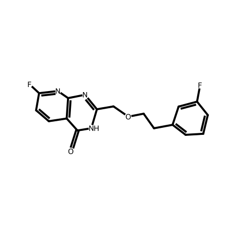 O=c1[nH]c(COCCc2cccc(F)c2)nc2nc(F)ccc12